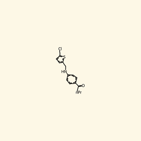 CCCC(=O)c1ccc(NCc2ccc(Cl)s2)cc1